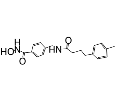 Cc1ccc(CCCC(=O)NCc2ccc(C(=O)NO)cc2)cc1